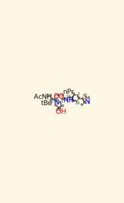 CCCc1cc(-c2scnc2C)ccc1CNC(=O)[C@@H]1C[C@@H](O)CN1C(=O)[C@@H](NC(C)=O)C(C)(C)C